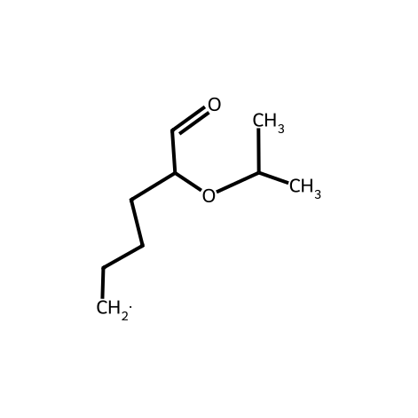 [CH2]CCCC(C=O)OC(C)C